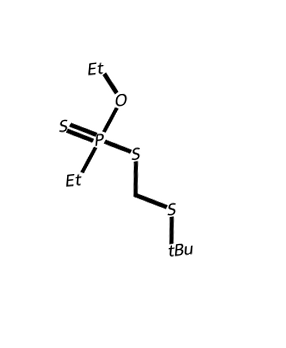 CCOP(=S)(CC)SCSC(C)(C)C